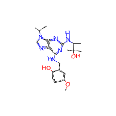 COc1ccc(O)c(CNc2nc(NC(C)C(C)(C)O)nc3c2ncn3C(C)C)c1